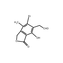 CCc1c(C)c2c(c(O)c1CC=O)C(=O)OC2